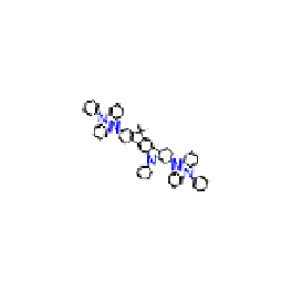 CC1(C)c2cc(N3c4ccccc4N(c4ccccc4)c4ccccc43)ccc2-c2cc3c(cc21)c1ccc(N2c4ccccc4N(c4ccccc4)c4ccccc42)cc1n3-c1ccccc1